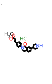 COC(=O)CCc1ccc(N2CCc3ccc(C4CCNCC4)cc3C2=O)cc1.Cl